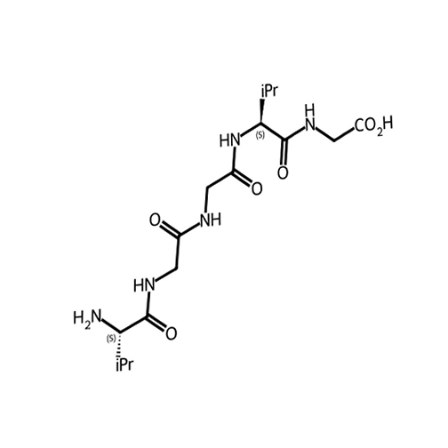 CC(C)[C@H](N)C(=O)NCC(=O)NCC(=O)N[C@H](C(=O)NCC(=O)O)C(C)C